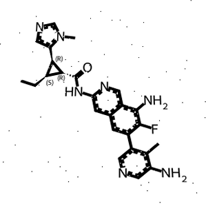 CC[C@@H]1[C@@H](C(=O)Nc2cc3cc(-c4cncc(N)c4C)c(F)c(N)c3cn2)[C@@H]1c1cncn1C